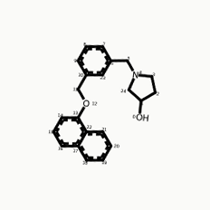 OC1CCN(Cc2cccc(COc3cccc4ccccc34)c2)C1